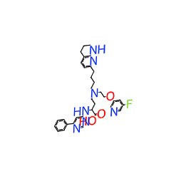 O=C(O)C(CCN(CCCCc1ccc2c(n1)NCCC2)CCOc1cncc(F)c1)Nc1cc(-c2ccccc2)ncn1